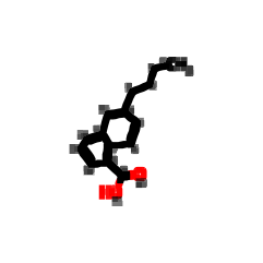 CCCCc1ccc2c(C(=O)O)cccc2c1